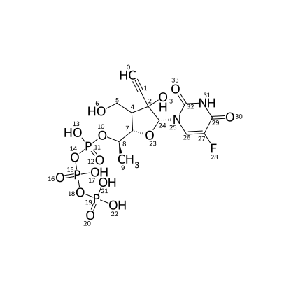 C#CC1(O)C(CO)[C@@H]([C@@H](C)OP(=O)(O)OP(=O)(O)OP(=O)(O)O)O[C@H]1n1cc(F)c(=O)[nH]c1=O